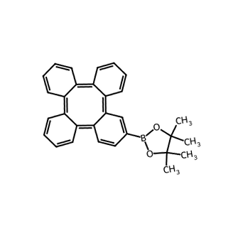 CC1(C)OB(c2ccc3/c(c2)=c2/cccc/c2=c2\cccc\c2=c2/cccc/c2=3)OC1(C)C